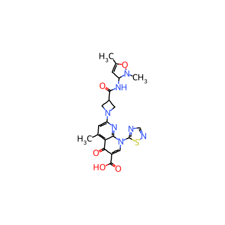 CC1=CC(NC(=O)C2CN(c3cc(C)c4c(=O)c(C(=O)O)cn(-c5ncns5)c4n3)C2)N(C)O1